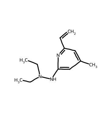 C=Cc1cc(C)cc(NN(CC)CC)n1